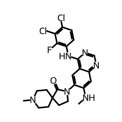 CNc1cc2ncnc(Nc3ccc(Cl)c(Cl)c3F)c2cc1N1CCC2(CCN(C)CC2)C1=O